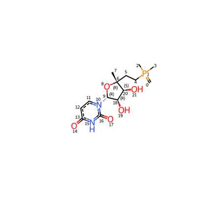 C=P(C)(C)CC[C@@]1(C)O[C@@H](n2ccc(=O)[nH]c2=O)[C@H](O)[C@@H]1O